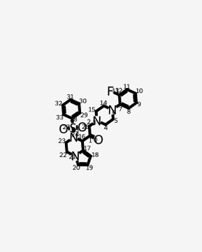 O=C(CN1CCN(c2ccccc2F)CC1)C1c2cccn2CCN1S(=O)(=O)c1ccccc1